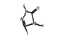 O=c1n(I)nc(I)n1I